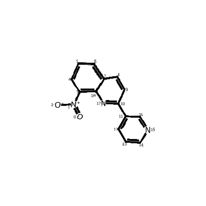 O=[N+]([O-])c1cccc2ccc(-c3cccnc3)nc12